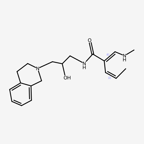 C/C=C\C(=C/NC)C(=O)NCC(O)CN1CCc2ccccc2C1